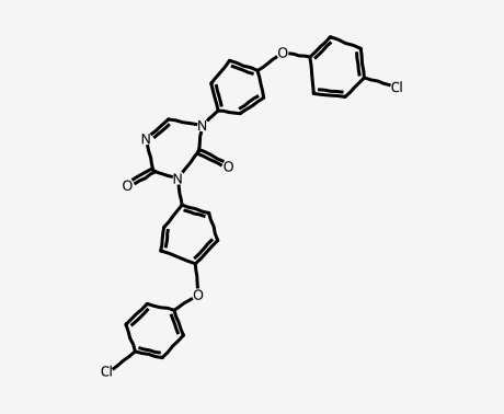 O=c1ncn(-c2ccc(Oc3ccc(Cl)cc3)cc2)c(=O)n1-c1ccc(Oc2ccc(Cl)cc2)cc1